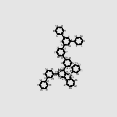 c1ccc(-c2cc(-c3ccccc3)cc(-c3cccc(-c4cccc(-c5nc(-c6cccc(-c7ccccc7)c6)nc6c7ccccc7n(-c7ccccc7)c56)c4)c3)c2)cc1